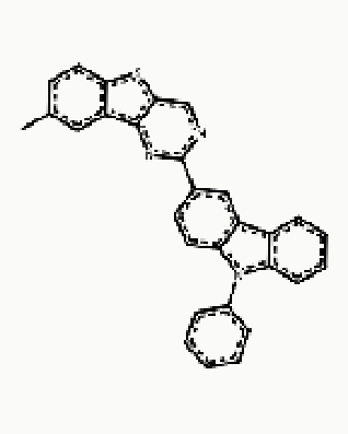 Cc1ccc2sc3cnc(-c4ccc5c(c4)c4ccccc4n5-c4ccccc4)nc3c2c1